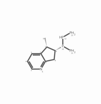 C[C@H]1c2cccnc2C[C@H]1P(P)PP